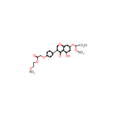 CCOC(=O)C(Oc1cc(O)c2c(=O)c(-c3ccc(OCC(=O)OCCO[N+](=O)[O-])cc3)coc2c1)O[N+](=O)[O-]